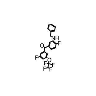 O=C(c1cc(F)cc(OC(F)(F)C(F)F)c1)c1ccc(F)c(NCc2ccccc2)c1